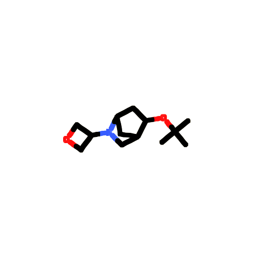 CC(C)(C)OC1CC2CC1CN2C1COC1